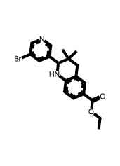 CCOC(=O)c1ccc2c(c1)CC(C)(C)C(c1cncc(Br)c1)N2